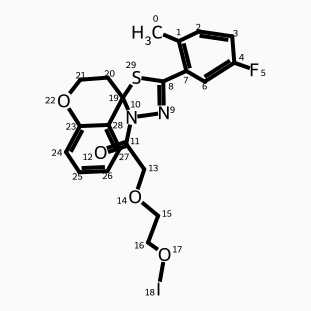 Cc1ccc(F)cc1C1=NN(C(=O)COCCOI)C2(CCOc3ccccc32)S1